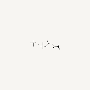 C=C(C)C(=O)OC(C)CC(C)(C)OOC(C)(C)C